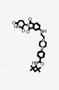 CC1(C)CC(C)(C)C1NC(=O)c1ccc(N2CCN(CCNc3ccc4c(c3)C(=O)N(C3CCC(=O)NC3=O)C4=O)CC2)cc1